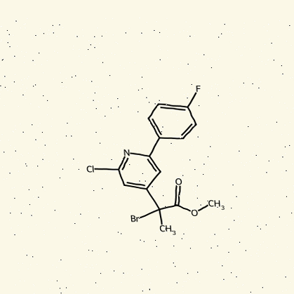 COC(=O)C(C)(Br)c1cc(Cl)nc(-c2ccc(F)cc2)c1